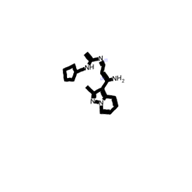 C=C(/N=C\C=C(/N)c1c(C)nn2ccccc12)NC1CCCC1